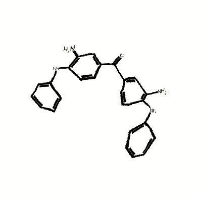 Nc1cc(C(=O)c2ccc(Nc3ccccc3)c(N)c2)ccc1Nc1ccccc1